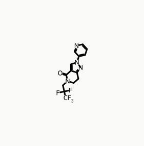 O=C1c2cn(-c3cccnc3)nc2CCN1CC(F)(F)C(F)(F)F